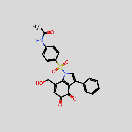 CC(=O)Nc1ccc(S(=O)(=O)n2cc(-c3ccccc3)c3c2C(CO)=CC(=O)C3=O)cc1